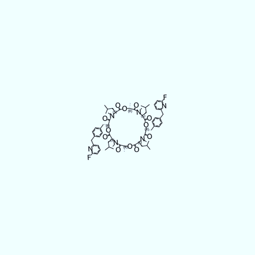 CC(C)C[C@H]1C(=O)O[C@H](Cc2ccc(Cc3cccc(F)n3)cc2)C(=O)N(C)[C@@H](CC(C)C)C(=O)O[C@H](C)C(=O)N(C)[C@@H](CC(C)C)C(=O)O[C@H](Cc2ccc(Cc3cccc(F)n3)cc2)C(=O)N(C)[C@@H](CC(C)C)C(=O)O[C@H](C)C(=O)N1C